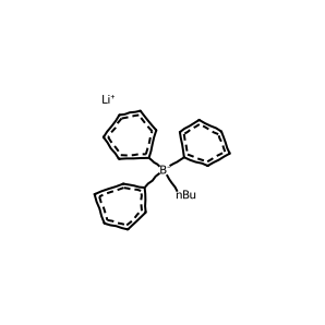 CCCC[B-](c1ccccc1)(c1ccccc1)c1ccccc1.[Li+]